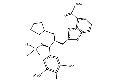 COC(=O)c1cccc2sc(C[C@H](OC3CCCC3)[C@H](O[Si](C)(C)C(C)(C)C)c3cc(OC)c(C)c(OC)c3)nc12